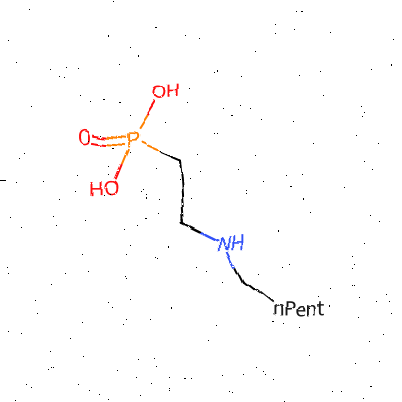 CCCCCCNCCP(=O)(O)O